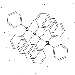 C[Si](c1ccccc1)(c1ccccc1)[Si](c1ccccc1)(c1ccccc1)[Si](c1ccccc1)(c1ccccc1)[Si](c1ccccc1)(c1ccccc1)c1ccccc1